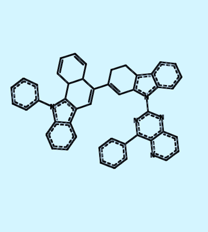 C1=CC2C(C3=Cc4c(c5ccccc5n4-c4nc(-c5ccccc5)c5ncccc5n4)CC3)=Cc3c(n(-c4ccccc4)c4ccccc34)C2C=C1